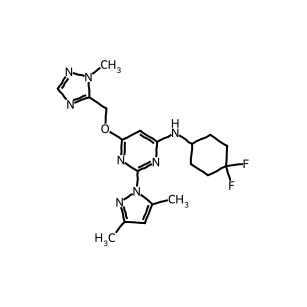 Cc1cc(C)n(-c2nc(NC3CCC(F)(F)CC3)cc(OCc3ncnn3C)n2)n1